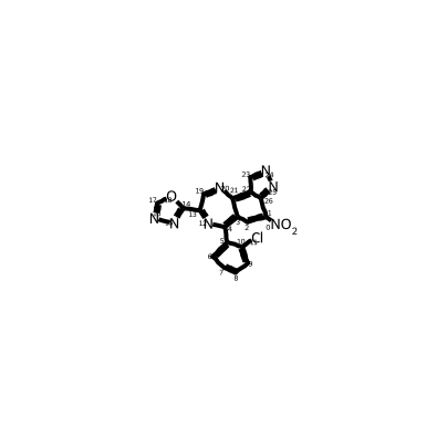 O=[N+]([O-])c1cc2c(-c3ccccc3Cl)nc(-c3nnco3)cnc2c2cnnc12